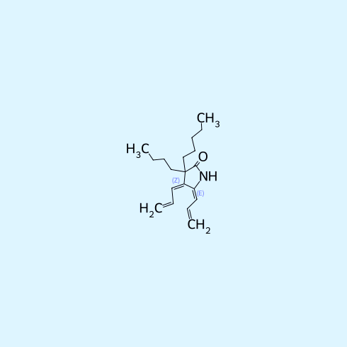 C=C/C=C1\C(=C/C=C)NC(=O)C1(CCCC)CCCCC